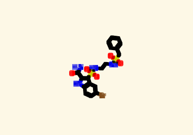 NC(=O)c1[nH]c2ccc(Br)cc2c1S(=O)(=O)NCCNS(=O)(=O)Cc1ccccc1